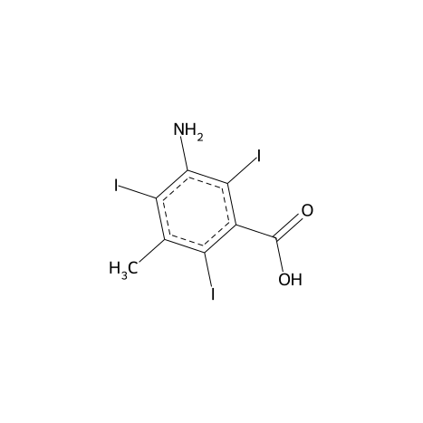 Cc1c(I)c(N)c(I)c(C(=O)O)c1I